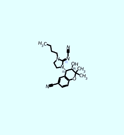 CCCCN1CCN([C@H]2c3cc(C#N)ccc3OC(C)(C)[C@@H]2O)/C1=N/C#N